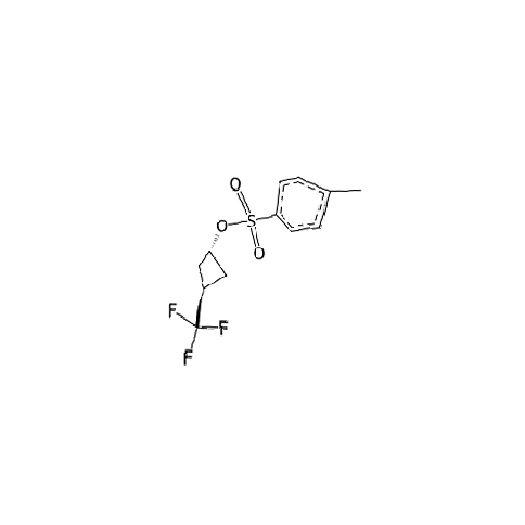 Cc1ccc(S(=O)(=O)O[C@H]2C[C@H](C(F)(F)F)C2)cc1